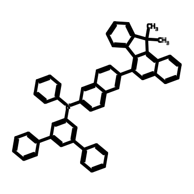 CC1(C)c2ccccc2-c2c(-c3ccc4cc(N(c5ccccc5)c5cc(-c6ccccc6)cc(-c6ccccc6)c5)ccc4c3)cc3ccccc3c21